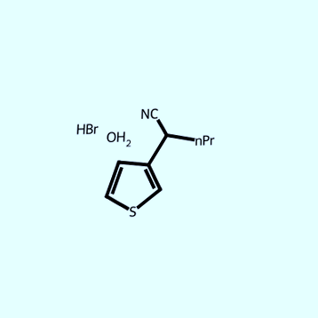 Br.CCCC(C#N)c1ccsc1.O